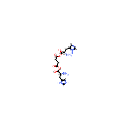 N[C@@H](Cc1cnc[nH]1)C(=O)OC(=O)CCC(=O)OC(=O)[C@@H](N)Cc1cnc[nH]1